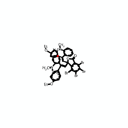 CCOc1ccc(/C(=C/C2(/C=C(/c3ccc(OCC)cc3)c3ccccc3N(C)C)OC(=O)c3c(Br)c(Br)c(Br)c(Br)c32)c2ccccc2N(C)C)cc1